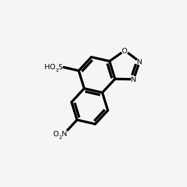 O=[N+]([O-])c1ccc2c(c1)c(S(=O)(=O)O)cc1onnc12